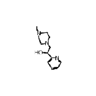 OC(CN1CCN(I)CC1)c1ccccn1